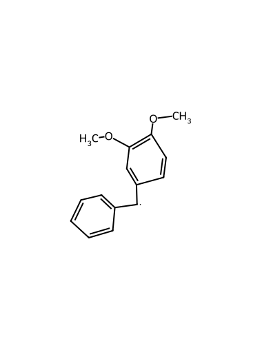 COc1ccc([CH]c2ccccc2)cc1OC